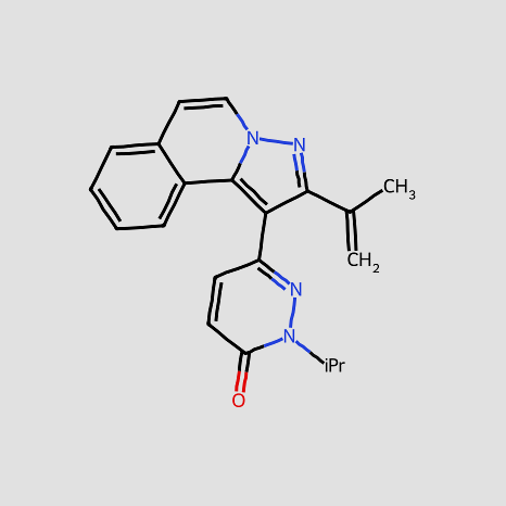 C=C(C)c1nn2ccc3ccccc3c2c1-c1ccc(=O)n(C(C)C)n1